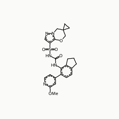 COc1cc(-c2ccc3c(c2NC(=O)NS(=O)(=O)c2cnn4c2OCC2(CC2)C4)CCC3)ccn1